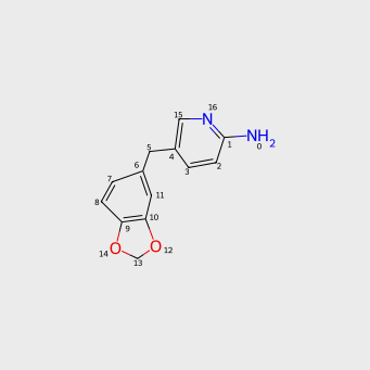 Nc1ccc(Cc2ccc3c(c2)OCO3)cn1